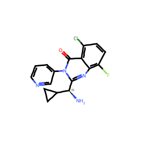 N[C@H](c1nc2c(F)ccc(Cl)c2c(=O)n1-c1cccnc1)C1CC1